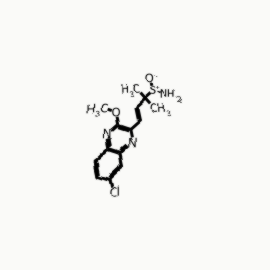 COc1nc2ccc(Cl)cc2nc1/C=C/C(C)(C)[S@@+](N)[O-]